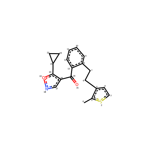 Cc1sccc1CCc1ccccc1C(=O)c1cnoc1C1CC1